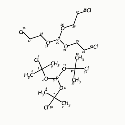 CC(C)(Cl)OP(OC(C)(C)Cl)OC(C)(C)Cl.ClCCOP(OCCCl)OCCCl